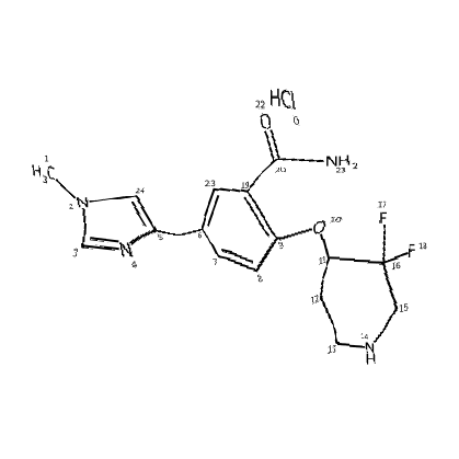 Cl.Cn1cnc(-c2ccc(OC3CCNCC3(F)F)c(C(N)=O)c2)c1